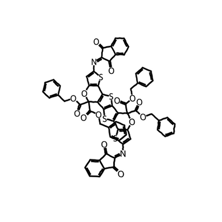 O=C(OCc1ccccc1)C1(C(=O)OCc2ccccc2)Oc2cc(N=c3c(=O)c4ccccc4c3=O)sc2-c2sc3c4c(sc3c21)-c1sc(N=c2c(=O)c3ccccc3c2=O)cc1OC4(C(=O)OCc1ccccc1)C(=O)OCc1ccccc1